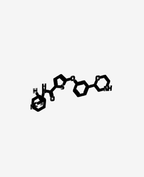 O=C(N[C@H]1CN2CCC1CC2)c1ccc(Oc2cccc(C3CNCCO3)c2)s1